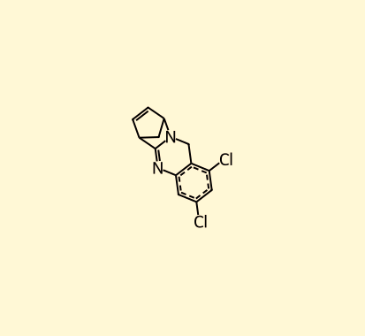 Clc1cc(Cl)c2c(c1)N=C1C3C=CC(C3)N1C2